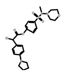 CCC(C(=O)Oc1ccc(S(=O)(=O)N(C)N2CCOCC2)cc1)c1ccc(N2CCCC2)cc1